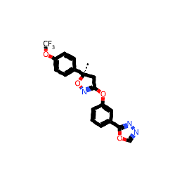 C[C@]1(c2ccc(OC(F)(F)F)cc2)CC(Oc2cccc(-c3nnco3)c2)=NO1